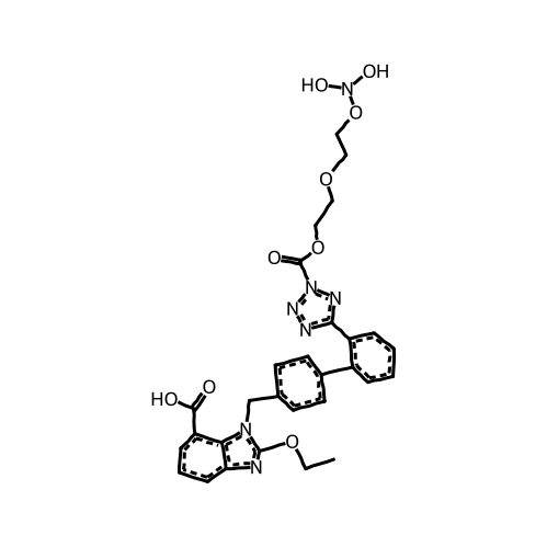 CCOc1nc2cccc(C(=O)O)c2n1Cc1ccc(-c2ccccc2-c2nnn(C(=O)OCCOCCON(O)O)n2)cc1